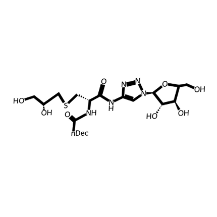 CCCCCCCCCCC(=O)N[C@H](CSC[C@H](O)CO)C(=O)Nc1cn([C@H]2OC(CO)[C@@H](O)[C@@H]2O)nn1